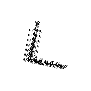 Cc1c[o+]cc(C)c1C.Cc1c[o+]cc(C)c1C.Cc1c[o+]cc(C)c1C.Cc1c[o+]cc(C)c1C.Cc1c[o+]cc(C)c1C.Cc1c[o+]cc(C)c1C.Cc1c[o+]cc(C)c1C.Cc1c[o+]cc(C)c1C.Cc1c[o+]cc(C)c1C.Cc1c[o+]cc(C)c1C.Cc1c[o+]cc(C)c1C.Cc1c[o+]cc(C)c1C.[O-]B([O-])[O-].[O-]B([O-])[O-].[O-]B([O-])[O-].[O-]B([O-])[O-]